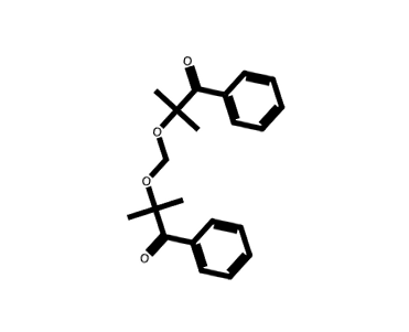 CC(C)(OCOC(C)(C)C(=O)c1ccccc1)C(=O)c1ccccc1